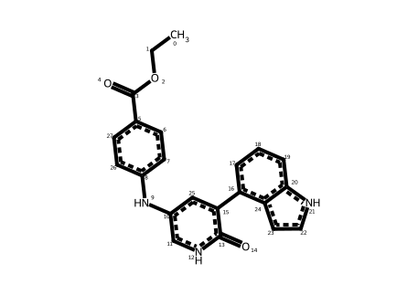 CCOC(=O)c1ccc(Nc2c[nH]c(=O)c(-c3cccc4[nH]ccc34)c2)cc1